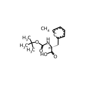 C.CC(C)(C)OC(=O)N[C@H](Cc1ccccc1)C(=O)O